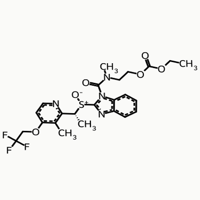 CCOC(=O)OCCN(C)C(=O)n1c([S+]([O-])[C@H](C)c2nccc(OCC(F)(F)F)c2C)nc2ccccc21